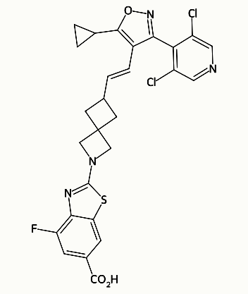 O=C(O)c1cc(F)c2nc(N3CC4(CC(C=Cc5c(-c6c(Cl)cncc6Cl)noc5C5CC5)C4)C3)sc2c1